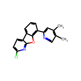 Cc1cnc(-c2cccc3c2oc2nc(Cl)ccc23)cc1C